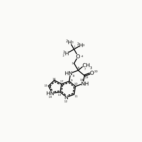 [2H]C([2H])([2H])OCC1(C)Nc2c(cnc3[nH]ccc23)NC1=O